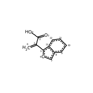 C=C(C(=O)O)c1occ2ccccc12